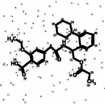 CCOc1cc(CC(=O)NC(COC(=O)CC)c2ccccc2N2CCCCC2)ccc1C(=O)O